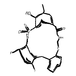 Cc1cc2cc(c1O)S(=O)(=O)Nc1cc(c(F)cc1F)-c1ccccc1CNC2=O